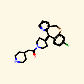 O=C(CC1CCNCC1)N1CCC(=C2c3ccc(Cl)cc3SCc3cccnc32)CC1